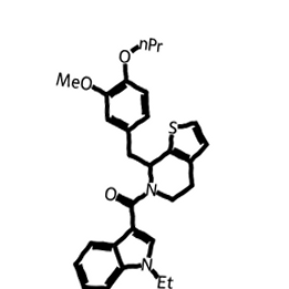 CCCOc1ccc(CC2c3sccc3CCN2C(=O)c2cn(CC)c3ccccc23)cc1OC